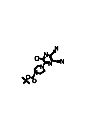 CC(C)(C)OC(=O)N1CCN(c2nc(C#N)c(C#N)nc2Cl)CC1